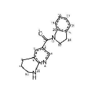 O=C(c1cnc2c(c1)CCCN2)N1CCc2ccccc21